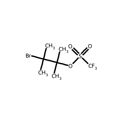 CC(C)(Br)C(C)(C)OS(=O)(=O)C(F)(F)F